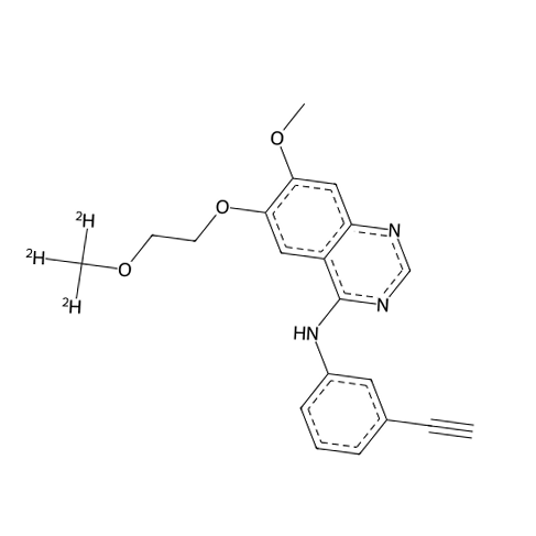 [2H]C([2H])([2H])OCCOc1cc2c(Nc3cccc(C#C)c3)ncnc2cc1OC